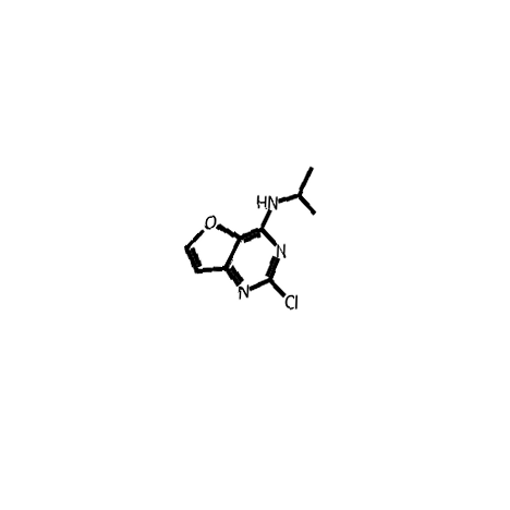 CC(C)Nc1nc(Cl)nc2ccoc12